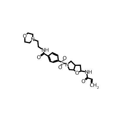 C=CC(=O)NC1CC2CN(S(=O)(=O)c3ccc(C(=O)NCCN4CCOCC4)cc3)CC2O1